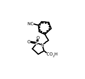 N#Cc1cccc(CN2C(C(=O)O)CCS2(=O)=O)c1